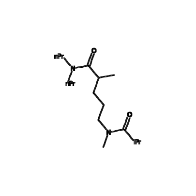 CCCN(CCC)C(=O)C(C)CCCN(C)C(=O)C(C)C